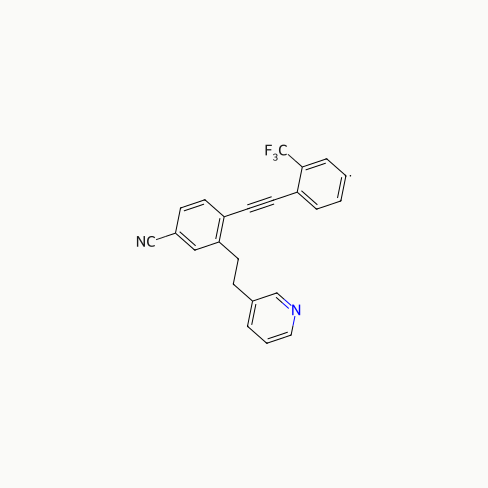 N#Cc1ccc(C#Cc2cc[c]cc2C(F)(F)F)c(CCc2cccnc2)c1